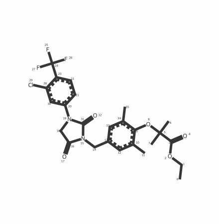 CCOC(=O)C(C)(C)Oc1c(C)cc(CN2C(=O)CN(c3ccc(C(F)(F)F)c(Cl)c3)C2=O)cc1C